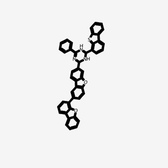 c1ccc(C2=NC(c3ccc4c(c3)oc3ccc(-c5cccc6c5oc5ccccc56)cc34)NC(c3cccc4c3sc3ccccc34)N2)cc1